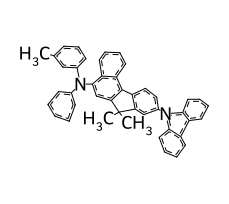 Cc1cccc(N(c2ccccc2)c2cc3c(c4ccccc24)-c2ccc(-n4c5ccccc5c5ccccc54)cc2C3(C)C)c1